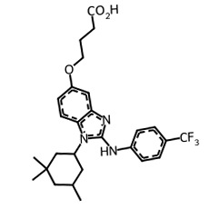 CC1CC(n2c(Nc3ccc(C(F)(F)F)cc3)nc3cc(OCCCC(=O)O)ccc32)CC(C)(C)C1